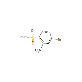 CCCS(=O)(=O)c1ccc(Br)cc1[N+](=O)[O-]